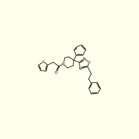 O=C(Cc1cccs1)N1CCC(c2ccccc2)(c2noc(CCc3ccccc3)n2)CC1